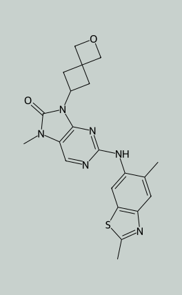 Cc1nc2cc(C)c(Nc3ncc4c(n3)n(C3CC5(COC5)C3)c(=O)n4C)cc2s1